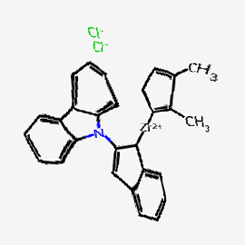 CC1=CC[C]([Zr+2][CH]2C(n3c4ccccc4c4ccccc43)=Cc3ccccc32)=C1C.[Cl-].[Cl-]